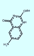 COc1nc(=O)c2cc(N)ccc2[nH]1